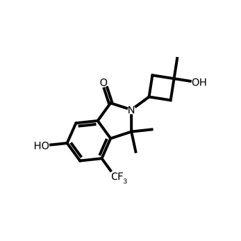 CC1(O)CC(N2C(=O)c3cc(O)cc(C(F)(F)F)c3C2(C)C)C1